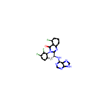 C[C@H](Nc1ncnc2[nH]cnc12)c1nc2cccc(F)c2c(=O)n1-c1cccc(F)c1F